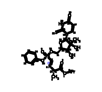 CC(C)OC(=O)[C@H](C)/N=C/P(=O)(OC[C@H]1O[C@@H](n2ccc(=O)[nH]c2=S)C(C)(O)[C@H]1O)Oc1ccccc1